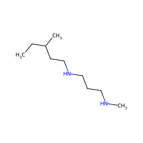 CCC(C)CCNCCCNC